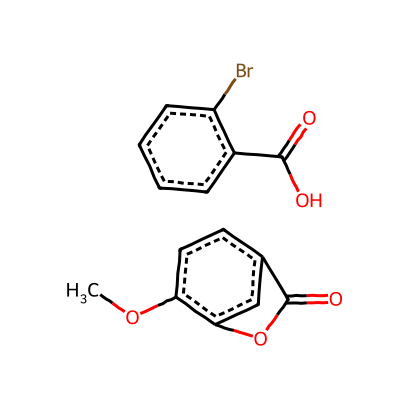 COc1ccc2cc1OC2=O.O=C(O)c1ccccc1Br